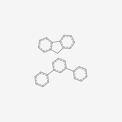 c1ccc(-c2cccc(-c3ccccc3)c2)cc1.c1ccc2c(c1)Cc1ccccc1-2